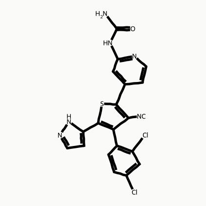 [C-]#[N+]c1c(-c2ccnc(NC(N)=O)c2)sc(-c2ccn[nH]2)c1-c1ccc(Cl)cc1Cl